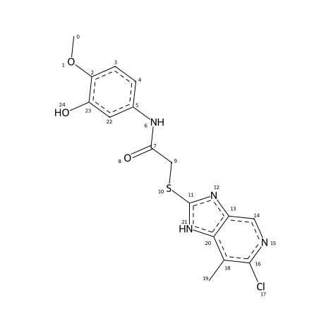 COc1ccc(NC(=O)CSc2nc3cnc(Cl)c(C)c3[nH]2)cc1O